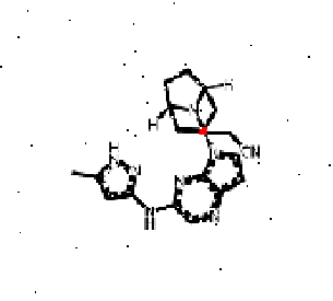 Cc1cc(Nc2cnc3ccn([C@@H]4C[C@H]5CC[C@@H](C4)N5CCC#N)c3n2)n[nH]1